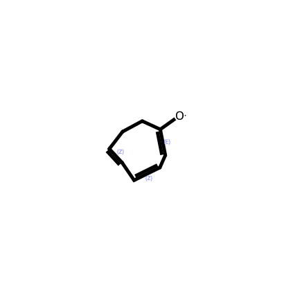 [O]/C1=C/C=C\C=C/CC1